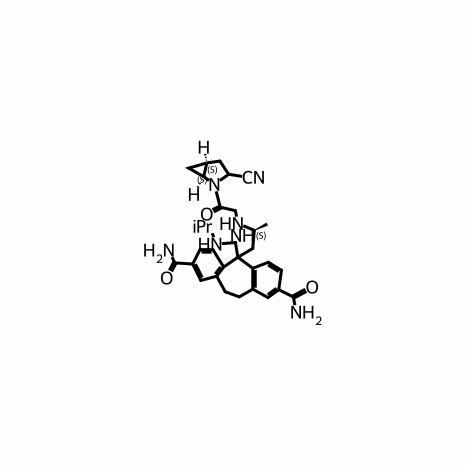 CC(C)NC(=N)C1(C[C@H](C)NCC(=O)N2C(C#N)C[C@@H]3C[C@@H]32)c2ccc(C(N)=O)cc2CCc2cc(C(N)=O)ccc21